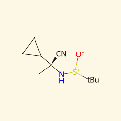 CC(C)(C)[S+]([O-])N[C@@](C)(C#N)C1CC1